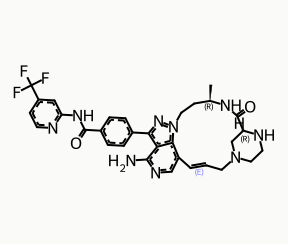 C[C@@H]1CCn2nc(-c3ccc(C(=O)Nc4cc(C(F)(F)F)ccn4)cc3)c3c(N)ncc(c32)/C=C/CN2CCN[C@H](C2)C(=O)N1